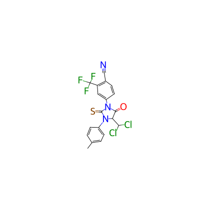 Cc1ccc(N2C(=S)N(c3ccc(C#N)c(C(F)(F)F)c3)C(=O)C2C(Cl)Cl)cc1